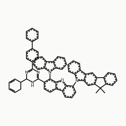 CC1(C)c2ccccc2-c2cc3c4ccccc4n(-c4cccc5c4oc4c(-n6c7ccccc7c7ccccc76)c(C6=NC(c7ccc(-c8ccccc8)cc7)=NC(C7C=CC=CC7)N6)ccc45)c3cc21